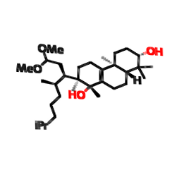 COC(C[C@H]([C@H](C)CCCC(C)C)[C@@]1(C)CCC2=C(CC[C@H]3C(C)(C)[C@@H](O)CC[C@]23C)[C@]1(C)O)OC